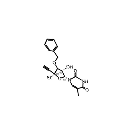 C#C[C@]1(CC)O[C@@H](n2cc(C)c(=O)[nH]c2=O)[C@@H](O)C1OCc1ccccc1